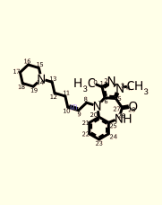 Cc1nn(C)c2c1N(C/C=C\CCCN1CCCCC1)c1ccccc1NC2=O